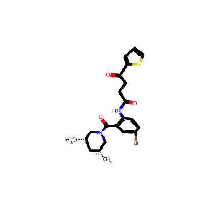 C[C@@H]1C[C@H](C)CN(C(=O)c2cc(Br)ccc2NC(=O)CCC(=O)c2cccs2)C1